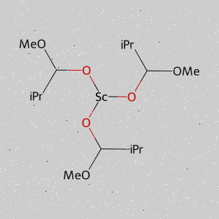 COC([O][Sc]([O]C(OC)C(C)C)[O]C(OC)C(C)C)C(C)C